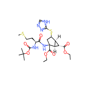 CCOC(=O)[C@H]1[C@H]2[C@@H]1[C@](NC(=O)[C@H](CCSC)NC(=O)OC(C)(C)C)(C(=O)OCC)C[C@H]2Sc1nnc[nH]1